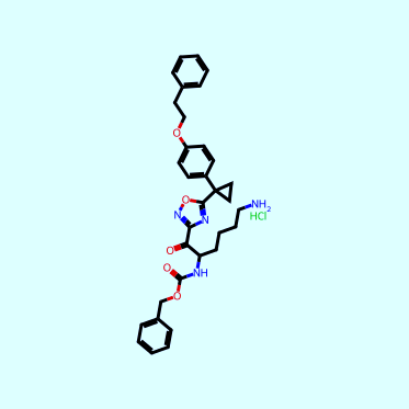 Cl.NCCCCC(NC(=O)OCc1ccccc1)C(=O)c1noc(C2(c3ccc(OCCc4ccccc4)cc3)CC2)n1